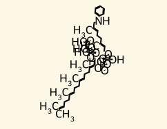 CC(C)=CCC/C(C)=C/CC/C(C)=C/CC/C(C)=C(/COP(=O)(O)OP(=O)(O)O)OP(=O)(O)OP(=O)(O)OC/C=C(\C)CCC=C(C)CNc1ccccc1